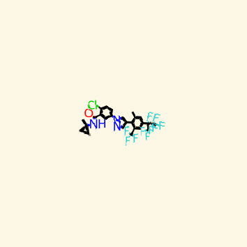 Cc1cc(C(F)(C(F)(F)F)C(F)(F)F)cc(C(F)(F)F)c1-c1cnn(-c2ccc(Cl)c(C(=O)NC3(C)CC3)c2)c1